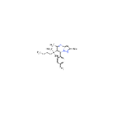 Cc1ccc(-c2c(C(C)(CCCC(F)(F)F)C(=O)O)c(C)nc3cc(C(C)(C)C)nn23)cc1